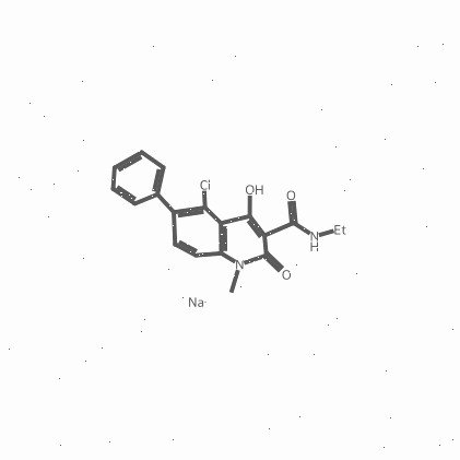 CCNC(=O)c1c(O)c2c(Cl)c(-c3ccccc3)ccc2n(C)c1=O.[Na]